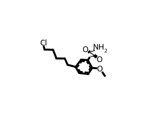 COc1ccc(CCCCCCl)cc1S(N)(=O)=O